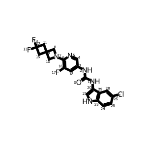 O=C(Nc1cnc(N2CC3(C2)CC(F)(F)C3)c(F)c1)Nc1c[nH]c2ccc(Cl)cc12